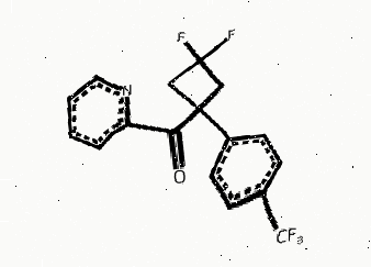 O=C(c1ccccn1)C1(c2ccc(C(F)(F)F)cc2)CC(F)(F)C1